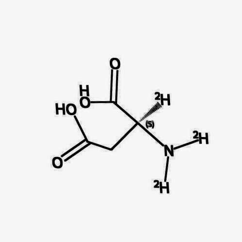 [2H]N([2H])[C@@]([2H])(CC(=O)O)C(=O)O